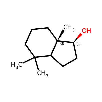 CC1(C)CCC[C@@]2(C)C1CC[C@@H]2O